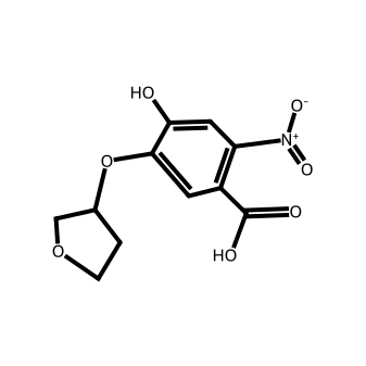 O=C(O)c1cc(OC2CCOC2)c(O)cc1[N+](=O)[O-]